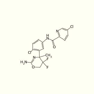 CC1(c2cc(NC(=O)c3ccc(Cl)cn3)ccc2Cl)N=C(N)OCC1(F)F